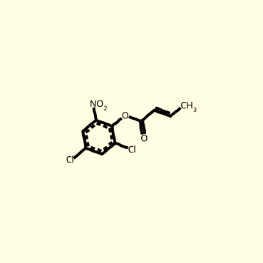 C/C=C/C(=O)Oc1c(Cl)cc(Cl)cc1[N+](=O)[O-]